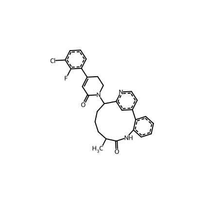 CC1CCCC(N2CCC(c3cccc(Cl)c3F)=CC2=O)c2cc(ccn2)-c2ccccc2NC1=O